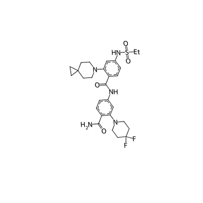 CCS(=O)(=O)Nc1ccc(C(=O)Nc2ccc(C(N)=O)c(N3CCC(F)(F)CC3)c2)c(N2CCC3(CC2)CC3)c1